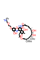 CO[C@H]1/C=C/O[C@]2(C)Cc3c(c(C)c(O)c4c(=O)c(c5oc6cc(OCCOCC[N+](C)(C)C(C)C)cc(O)c6nc-5c34)NC(=O)/C(C)=C\C=C\[C@H](C)[C@H](O)[C@@H](C)[C@@H](O)[C@@H](C)[C@H](OC(C)=O)[C@@H]1C)O2